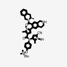 Cc1c(C(=O)N(c2ccc(O[Si](C)(C)C(C)(C)C)cc2)c2cc(C#N)n(C(C)C)c2C)cc(-c2cc3c(cc2C(=O)N2Cc4ccccc4C[C@H]2C)CNCC3)n1C